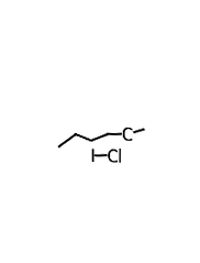 CCCCCC.ClI